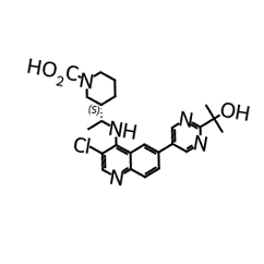 CC(Nc1c(Cl)cnc2ccc(-c3cnc(C(C)(C)O)nc3)cc12)[C@H]1CCCN(C(=O)O)C1